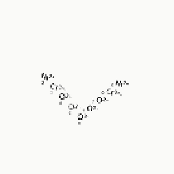 [Cr+3].[Cr+3].[Ni+2].[Ni+2].[O-2].[O-2].[O-2].[O-2].[O-2]